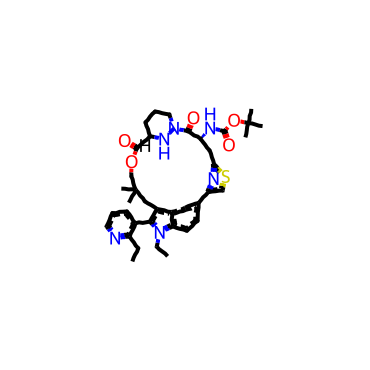 CCc1ncccc1-c1c2c3cc(ccc3n1CC)-c1csc(n1)C[C@H](NC(=O)OC(C)(C)C)C(=O)N1CCC[C@H](N1)C(=O)OCC(C)(C)C2